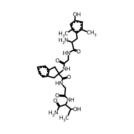 Cc1cc(O)cc(C)c1CC(N)C(=O)NCC(=O)NC1(C(=O)NCC(=O)NC(C(N)=O)C(C)O)Cc2ccccc2C1